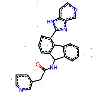 O=C(Cc1cccnc1)NC1c2ccccc2-c2c(-c3nc4cnccc4[nH]3)cccc21